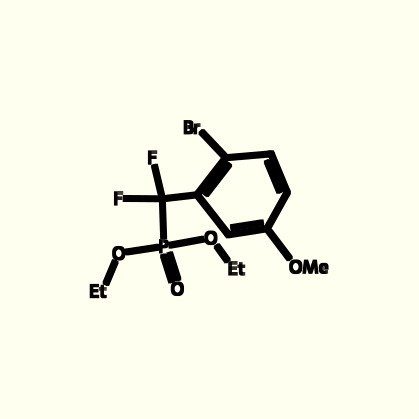 CCOP(=O)(OCC)C(F)(F)c1cc(OC)ccc1Br